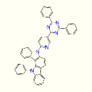 c1ccc(-c2nc(-c3ccccc3)nc(-c3ccc(-n4c5ccccc5c5c4ccc4c6ccccc6n(-c6ccccc6)c45)nc3)n2)cc1